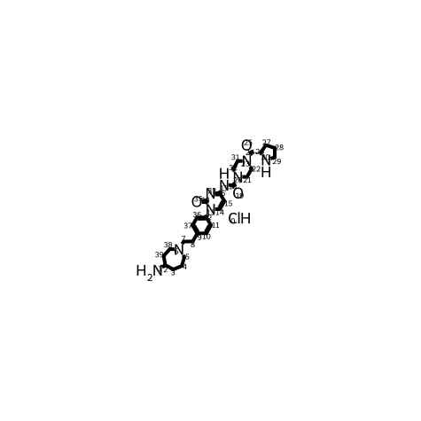 Cl.NC1CCCN(CCc2ccc(-n3ccc(NC(=O)N4CCN(C(=O)[C@@H]5CCCN5)CC4)nc3=O)cc2)CC1